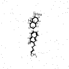 C/C=C/CCc1cc2ccc([C@@H]3CC[C@@H]4CC(CCCCCC)CCC4C3)cc2cc1F